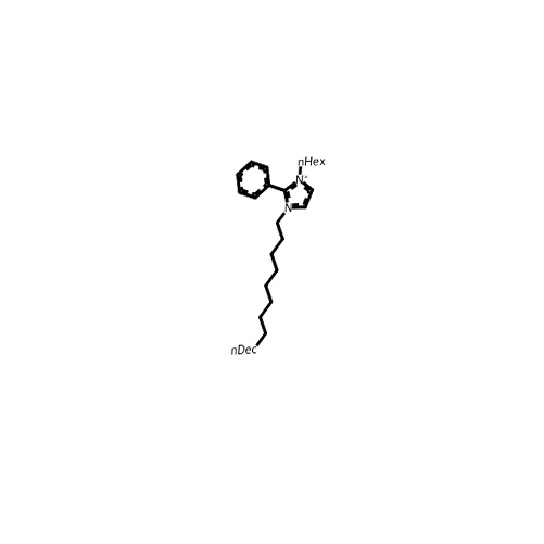 CCCCCCCCCCCCCCCCCCn1cc[n+](CCCCCC)c1-c1ccccc1